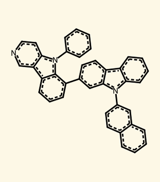 c1ccc(-n2c3ccncc3c3cccc(-c4ccc5c6ccccc6n(-c6ccc7ccccc7c6)c5c4)c32)cc1